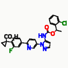 CC(OC(=O)Nc1ccnn1-c1ccc(-c2ccc(C3(C(=O)O)CC3)c(F)c2)nc1)c1ccccc1Cl